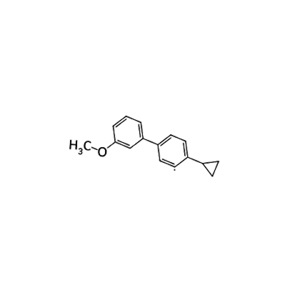 COc1cccc(-c2c[c]c(C3CC3)cc2)c1